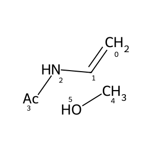 C=CNC(C)=O.CO